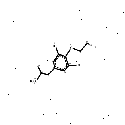 CC(Cc1cc(O)c(OCC[18F])c(O)c1)C(=O)O